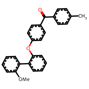 COc1ccccc1-c1ccccc1Oc1ccc(C(=O)c2ccc(C)cc2)cc1